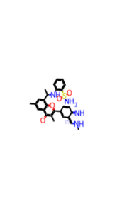 CN/C=C1/C=C(c2oc3c(C(C)Nc4ccccc4S(N)(=O)=O)cc(C)cc3c(=O)c2C)C=CC1=N